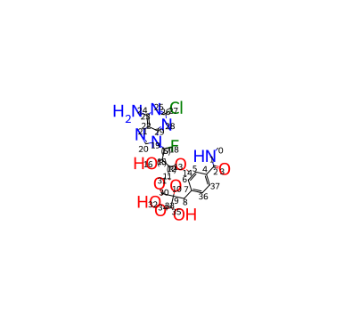 CNC(=O)c1ccc(CC(OC[C@@H](OC)[C@@H](O)[C@H](F)n2cnc3c(N)nc(Cl)nc32)(C(=O)O)C(=O)O)cc1